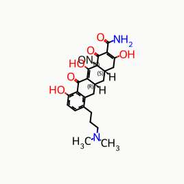 CN(C)CCCc1ccc(O)c2c1C[C@H]1C[C@H]3CC(O)=C(C(N)=O)C(=O)[C@@]3(N=O)C(O)=C1C2=O